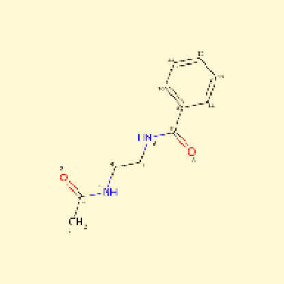 CC(=O)NCCNC(=O)c1ccccc1